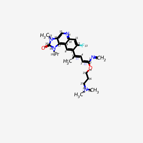 C=N/C(=C\C=C(/C)c1cc2c(cc1F)ncc1c2n(C(C)C)c(=O)n1C)OCCCN(C)C